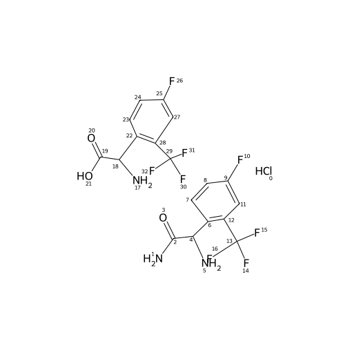 Cl.NC(=O)C(N)c1ccc(F)cc1C(F)(F)F.NC(C(=O)O)c1ccc(F)cc1C(F)(F)F